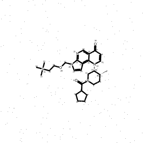 C[C@@H]1CCN(C(=O)C2CCCC2)C[C@@H]1n1ccc(=O)c2cnc3c(ccn3COCC[Si](C)(C)C)c21